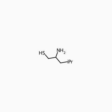 CC(C)CC(N)CS